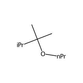 CCCOC(C)(C)C(C)C